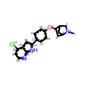 CN1CC2CC1CC2Oc1ccc(-c2cc3c(Cl)ccnc3[nH]2)cc1